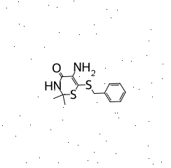 CC1(C)NC(=O)C(N)=C(SCc2ccccc2)S1